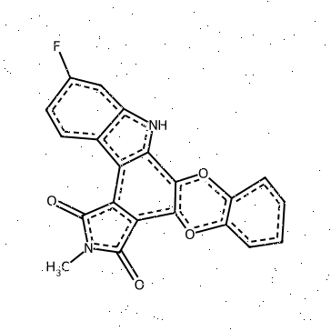 Cn1c(=O)c2c3oc4ccccc4oc3c3[nH]c4cc(F)ccc4c3c2c1=O